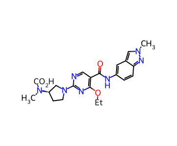 CCOc1nc(N2CC[C@@H](N(C)C(=O)O)C2)ncc1C(=O)Nc1ccc2nn(C)cc2c1